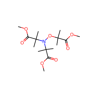 COC(=O)C(C)(C)ON(C(C)(C)C(=O)OC)C(C)(C)C(=O)OC